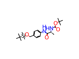 C[C@H](NC(=O)OC(C)(C)C)C(=O)Nc1ccc(CO[Si](C)(C)C(C)(C)C)cc1